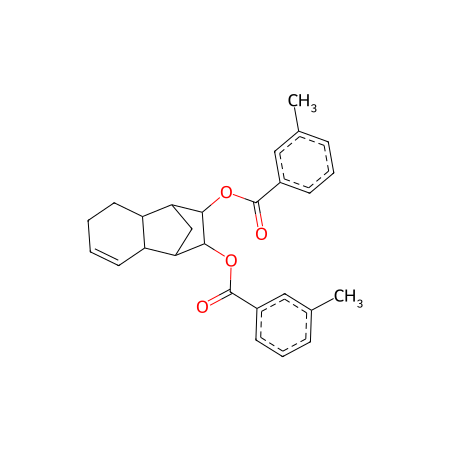 Cc1cccc(C(=O)OC2C3CC(C4CCC=CC43)C2OC(=O)c2cccc(C)c2)c1